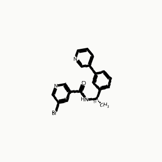 C[C@H](NC(=O)c1cncc(Br)c1)c1cccc(-c2cccnc2)c1